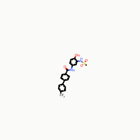 CS(=O)(=O)Nc1cc(NC(=O)c2ccc(-c3ccc(C(F)(F)F)cc3)cc2)ccc1O